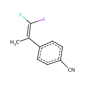 C/C(=C(\F)I)c1ccc(C#N)cc1